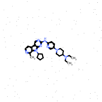 CCN(CC)C1CCN(c2ccc(Nc3ncc4c5ccnc(C)c5n(C5CCCC5)c4n3)nc2)CC1